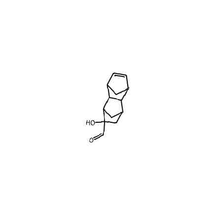 O=CC1(O)CC2CC1C1C3C=CC(C3)C21